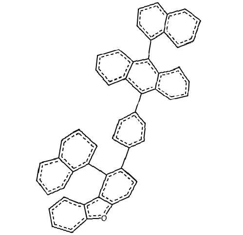 c1ccc2c(-c3c4ccccc4c(-c4ccc(-c5ccc6oc7ccccc7c6c5-c5cccc6ccccc56)cc4)c4ccccc34)cccc2c1